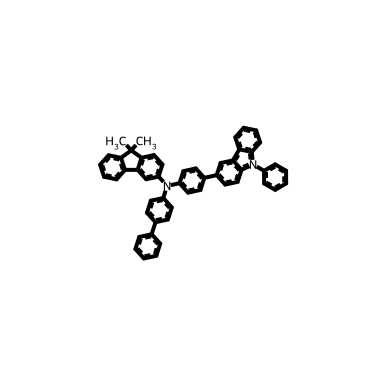 CC1(C)c2ccccc2-c2cc(N(c3ccc(-c4ccccc4)cc3)c3ccc(-c4ccc5c(c4)c4ccccc4n5-c4ccccc4)cc3)ccc21